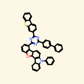 C1=CCC2C(=C1)N(c1ccccc1)C1=C2C2Oc3cccc(-c4nc(-c5ccc(-c6ccccc6)cc5)nc(-c5ccc6c(c5)sc5ccccc56)n4)c3C2C=C1